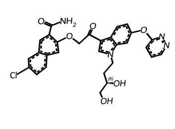 NC(=O)c1cc2cc(Cl)ccc2cc1OCC(=O)c1cn(CC[C@@H](O)CO)c2cc(Oc3cccnn3)ccc12